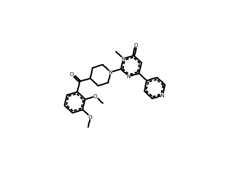 COc1cccc(C(=O)C2CCN(c3nc(-c4ccncc4)cc(=O)n3C)CC2)c1OC